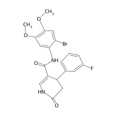 COc1cc(Br)c(NC(=O)C2=CNC(=O)CC2c2cccc(F)c2)cc1OC